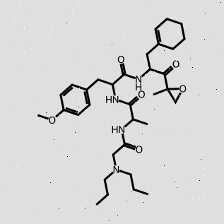 CCCN(CCC)CC(=O)NC(C)C(=O)NC(Cc1ccc(OC)cc1)C(=O)NC(CC1=CCCCC1)C(=O)C1(C)CO1